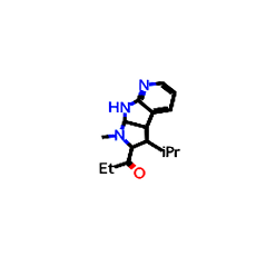 CCC(=O)C1C(C(C)C)C2c3cccnc3NC2N1C